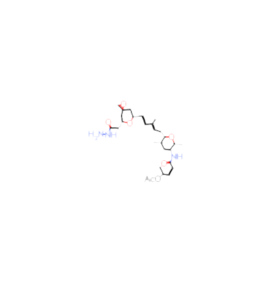 CC(=O)O[C@@H](C)/C=C\C(=O)N[C@@H]1C[C@H](C)[C@H](C/C=C(C)/C=C/[C@@H]2CC3(CO3)C[C@@H](CC(=O)NN)O2)O[C@@H]1C